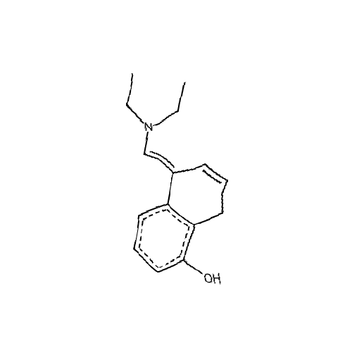 CCN(C=C1C=CCc2c(O)cccc21)CC